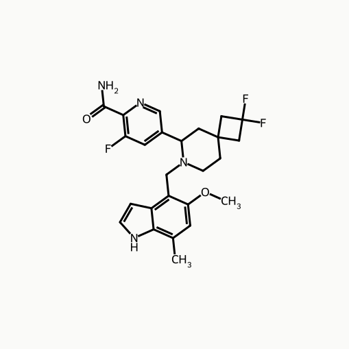 COc1cc(C)c2[nH]ccc2c1CN1CCC2(CC1c1cnc(C(N)=O)c(F)c1)CC(F)(F)C2